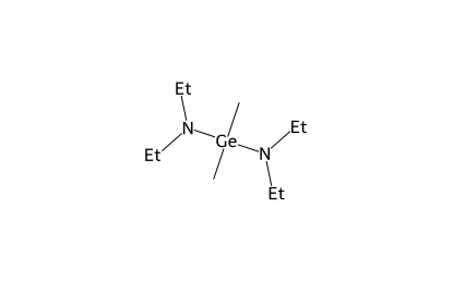 CC[N](CC)[Ge]([CH3])([CH3])[N](CC)CC